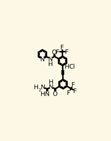 Cl.N=C(N)NC(=O)c1cc(C#Cc2ccc(C(F)(F)F)c(C(=O)Nc3ccccn3)c2)cc(C(F)(F)F)c1